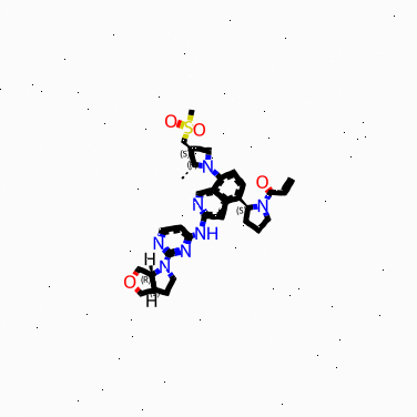 C=CC(=O)N1CCC[C@H]1c1ccc(N2C[C@H](CS(C)(=O)=O)[C@H]2C)c2cnc(Nc3ccnc(N4CC[C@@H]5COC[C@@H]54)n3)cc12